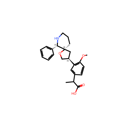 COc1ccc(C(C)C(=O)O)cc1[C@H]1CO[C@]2(CCCN[C@H]2c2ccccc2)C1